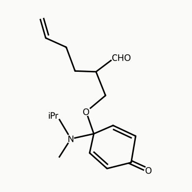 C=CCCC(C=O)COC1(N(C)C(C)C)C=CC(=O)C=C1